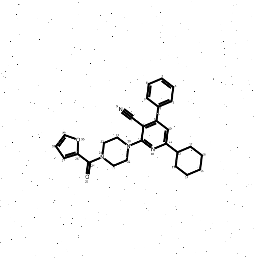 N#Cc1c(-c2ccccc2)cc(C2CCCCC2)nc1N1CCN(C(=O)c2ccco2)CC1